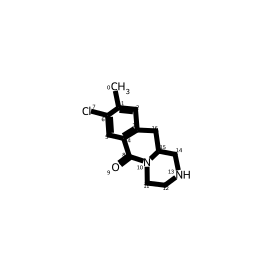 Cc1cc2c(cc1Cl)C(=O)N1CCNCC1C2